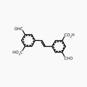 O=Cc1cc(/C=C/c2cc(C=O)cc(C(=O)O)c2)cc(C(=O)O)c1